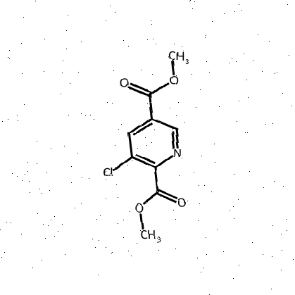 COC(=O)c1cnc(C(=O)OC)c(Cl)c1